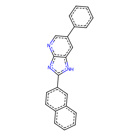 c1ccc(-c2cnc3nc(-c4ccc5ccccc5c4)[nH]c3c2)cc1